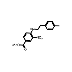 COC(=O)c1ccc(NCCc2ccc(C)cc2)c([N+](=O)[O-])c1